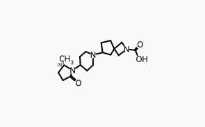 C[C@H]1CCC(=O)N1C1CCN(C2CCC3(C2)CN(C(=O)O)C3)CC1